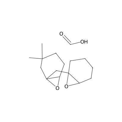 CC1(C)CCC2OC2(CC23CCCCC2O3)C1.O=CO